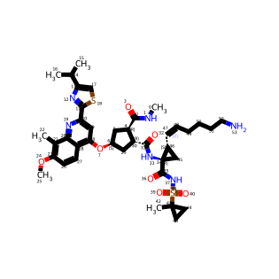 CNC(=O)[C@@H]1C[C@H](Oc2cc(-c3nc(C(C)C)cs3)nc3c(C)c(OC)ccc23)C[C@H]1C(=O)N[C@]1(C(=O)NS(=O)(=O)C2(C)CC2)C[C@H]1/C=C\CCCCN